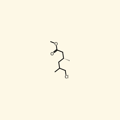 COC(=O)C[C@H](C)CC(C)CCl